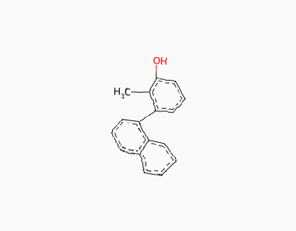 Cc1c(O)cccc1-c1cccc2ccccc12